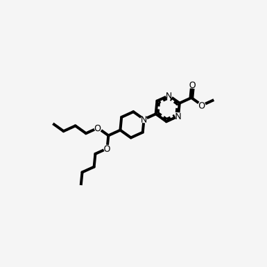 CCCCOC(OCCCC)C1CCN(c2cnc(C(=O)OC)nc2)CC1